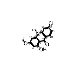 COc1cc(O)c2c(=O)c3ccc(Cl)cc3n(C)c2c1